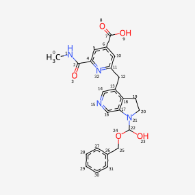 CNC(=O)c1cc(C(=O)O)cc(Cc2cncc3c2CCN3C(O)OCc2ccccc2)n1